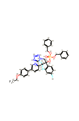 O=P(OCc1ccccc1)(OCc1ccccc1)OC(Cn1cnnn1)(c1ccc(F)cc1F)C(F)(F)c1ccc(-c2ccc(OCC(F)(F)F)cc2)cn1